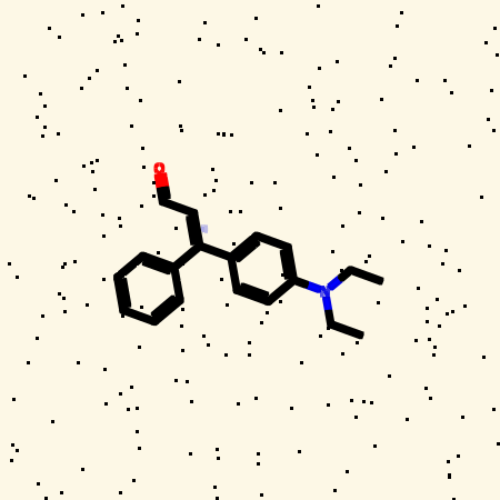 CCN(CC)c1ccc(/C(=C/C=O)c2ccccc2)cc1